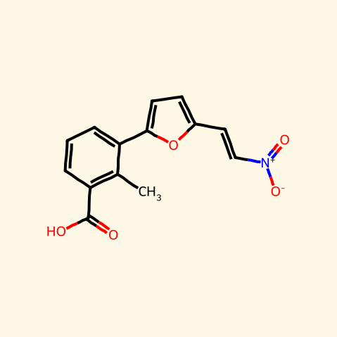 Cc1c(C(=O)O)cccc1-c1ccc(C=C[N+](=O)[O-])o1